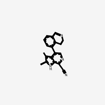 Cc1[nH]c2c(C#N)ncc(-c3cccc4c3CCN=C4)c2c1C